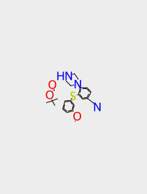 CC(C)(C)OC=O.COc1cccc(Sc2cc(C#N)ccc2N2CCNCC2)c1